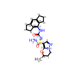 C[C@@H]1CCn2ncc([S@@](N)(=O)=NC(=O)Nc3c4c(cc5c3CCC5)CCC4)c2O1